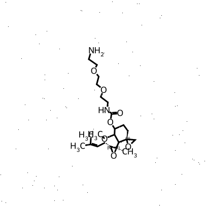 COC1C(OC(=O)NCCOCCOCCN)CC[C@]2(CO2)C1[C@@]1(C)O[C@@H]1CC=C(C)C